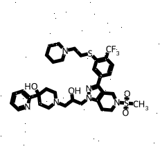 CS(=O)(=O)N1CCc2c(c(-c3ccc(C(F)(F)F)c(SCCN4CCCCC4)c3)nn2CC(O)CN2CCC(O)(c3ccccn3)CC2)C1